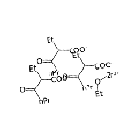 CCCC(=O)C(CC)C(=O)[O-].CCCC(=O)C(CC)C(=O)[O-].CCCC(=O)C(CC)C(=O)[O-].CC[O][Zr+3]